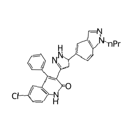 CCCn1ncc2cc(C3CC(c4c(-c5ccccc5)c5cc(Cl)ccc5[nH]c4=O)=NN3)ccc21